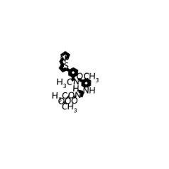 CC(=O)OC(C)OC(=O)N1CC(Nc2ccc(C)c(C(=O)N[C@H](C)c3cccc(-c4ccc(CN5CCCC5)s4)c3)c2)C1